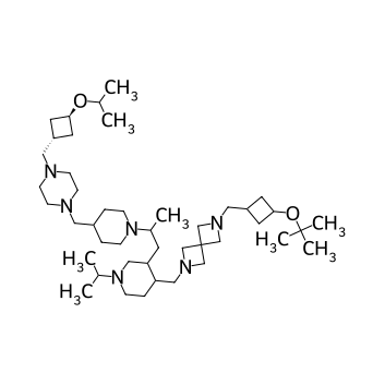 CC(C)O[C@H]1C[C@H](CN2CCN(CC3CCN(C(C)CC4CN(C(C)C)CCC4CN4CC5(CN(CC6CC(OC(C)(C)C)C6)C5)C4)CC3)CC2)C1